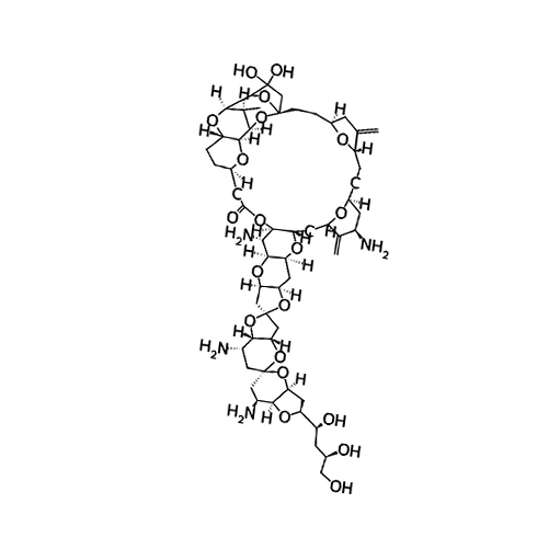 C=C1C[C@@H]2CC[C@]34CC(O)(O)C(O3)[C@@H]3O[C@H]5CC[C@H](CC(=O)O[C@@H]6[C@@H](N)[C@@H]7O[C@@H]8C[C@@]9(C[C@@H]%10O[C@]%11(C[C@H](N)[C@@H]%12O[C@H]([C@@H](O)C[C@@H](O)CO)C[C@@H]%12O%11)C[C@H](N)[C@@H]%10O9)O[C@@H]8C[C@@H]7O[C@H]6C[C@H]6O[C@@H](CC[C@@H]1O2)C[C@@H](N)C6=C)O[C@@H]5[C@H](O4)[C@@H]3C